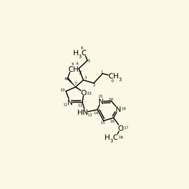 CCCC(CCC)[C@@]1(CC)CN=C(Nc2cc(OC)ncn2)O1